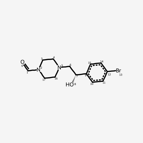 O=CN1CCN(C[C@@H](O)c2ccc(Br)cc2)CC1